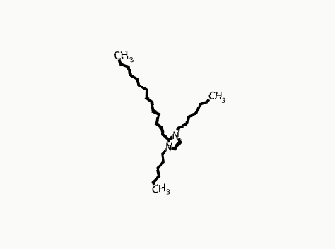 CCCCCCCCCCCCCCC1N(CCCCCC)C=CN1CCCCCCC